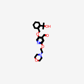 CC(C)(O)C1=C(COc2cnc(OCCN3CCOCC3)cc2C=O)CCCC1